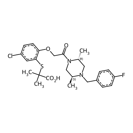 C[C@@H]1CN(Cc2ccc(F)cc2)[C@@H](C)CN1C(=O)COc1ccc(Cl)cc1SC(C)(C)C(=O)O